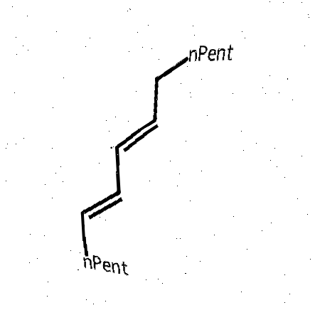 CCCCCC=C/[C]=C/CCCCCC